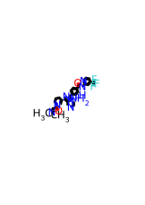 CN(C)CC(=O)N1CCC[C@@H](C2=C3C=NC=C[N+]3(N)C(c3ccc(C(=O)Nc4cc(C(F)(F)F)ccn4)cc3)=N2)C1